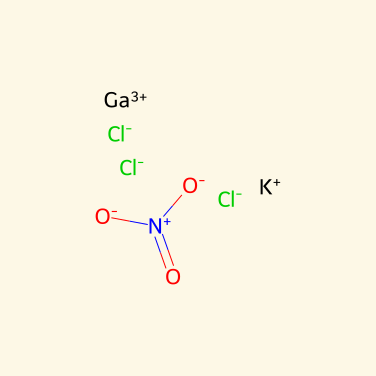 O=[N+]([O-])[O-].[Cl-].[Cl-].[Cl-].[Ga+3].[K+]